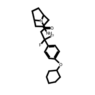 NC1CC2CCC(C1)N2C(=O)CC(F)(F)c1ccc(OC2CCCCC2)cc1